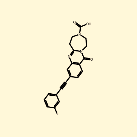 O=C(O)N1CCc2nc3cc(C#Cc4cccc(F)c4)ccc3c(=O)n2CC1